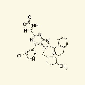 CC1CCC(Cn2c(C3OCCc4ccccc43)nc3nc(-c4noc(=O)[nH]4)nc(-c4cncc(Cl)c4)c32)CC1